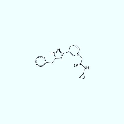 O=C(CN1C=CCC(c2cc(Cc3ccccc3)[nH]n2)=C1)NC1CC1